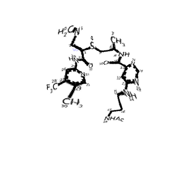 C=N/C=C(\SCC(C)NC(=O)c1cc(NCCCNC(C)=O)ncn1)C(=O)Nc1cc(C(F)(F)F)c(C)cn1